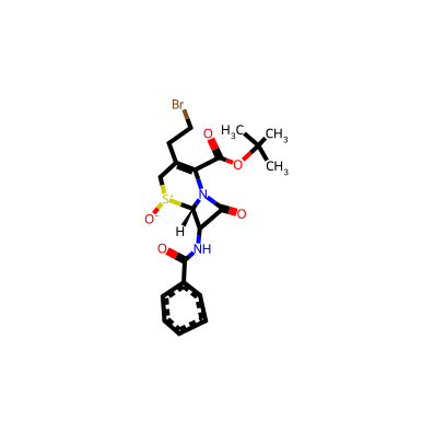 CC(C)(C)OC(=O)C1=C(CCBr)C[S+]([O-])[C@H]2C(NC(=O)c3ccccc3)C(=O)N12